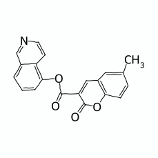 Cc1ccc2oc(=O)c(C(=O)Oc3cccc4cnccc34)cc2c1